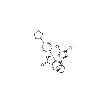 CC(C)n1nc(N2CCCC2)c2c1Oc1cc(N3CCCC3)ccc1C21OC(=O)c2ccccc21